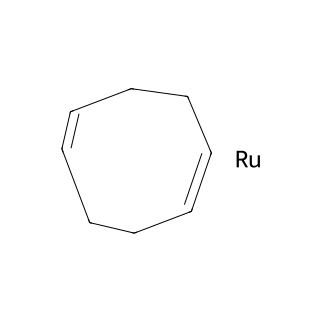 C1=CCCC=CCC1.[Ru]